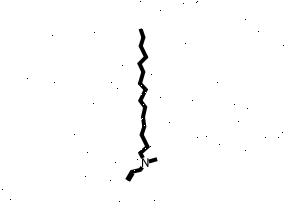 C=CCN(C)CCCCCCCCCCCCCCC